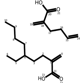 C=C(CCC(CC)CCCC)C(=O)O.C=CCCC(=C)C(=O)O